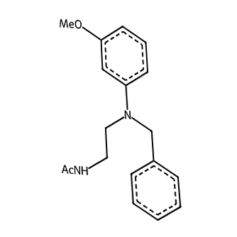 COc1cccc(N(CCNC(C)=O)Cc2ccccc2)c1